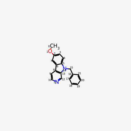 COc1ccc2c(c1)c1ccncc1n2Cc1ccccc1